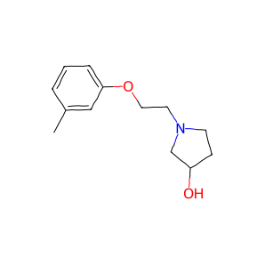 Cc1cccc(OCCN2CCC(O)C2)c1